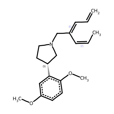 C=C/C=C(\C=C/C)CN1CC[C@@H](c2cc(OC)ccc2OC)C1